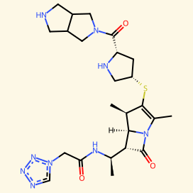 CC1=C(S[C@@H]2CN[C@H](C(=O)N3CC4CNCC4C3)C2)[C@H](C)[C@@H]2[C@@H]([C@@H](C)NC(=O)Cn3cnnn3)C(=O)N12